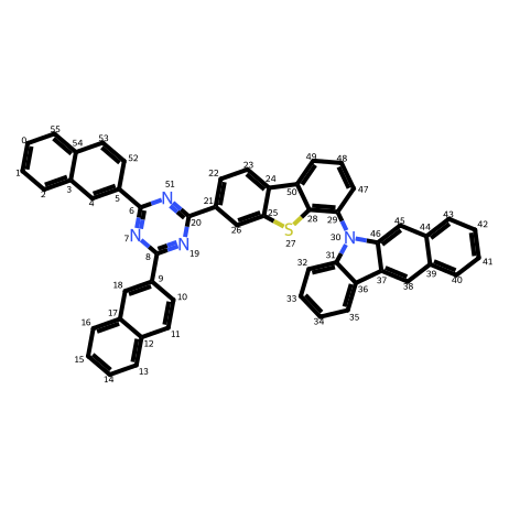 c1ccc2cc(-c3nc(-c4ccc5ccccc5c4)nc(-c4ccc5c(c4)sc4c(-n6c7ccccc7c7cc8ccccc8cc76)cccc45)n3)ccc2c1